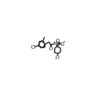 COC(=O)C1(NC(=O)Cc2ccc(Cl)cc2C)CCC(OC)CC1